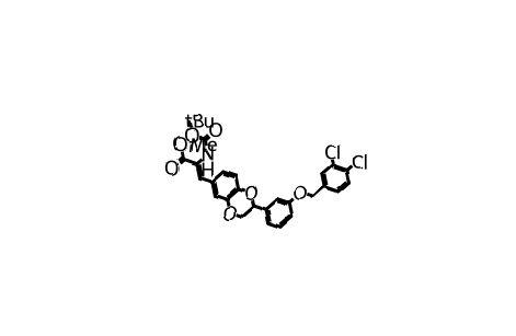 COC(=O)C(=Cc1ccc2c(c1)OCC(c1cccc(OCc3ccc(Cl)c(Cl)c3)c1)O2)NC(=O)OC(C)(C)C